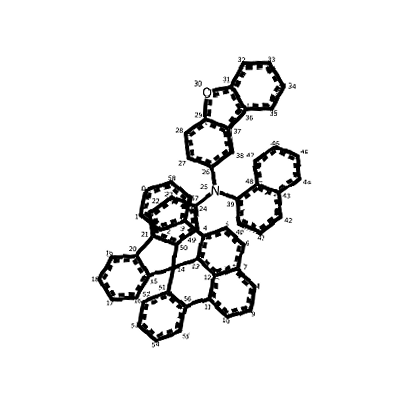 c1ccc(-c2ccc3cccc4c3c2C2(c3ccccc3-c3ccc(N(c5ccc6oc7ccccc7c6c5)c5cccc6ccccc56)cc32)c2ccccc2-4)cc1